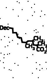 C=C(CC(C)CC(C)CCCCCCCCCCCCCCCC)C(=O)O